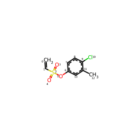 C=CS(=O)(=O)Oc1ccc(Cl)c(C)c1